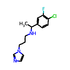 CC(NCCCn1ccnc1)c1ccc(Cl)c(F)c1